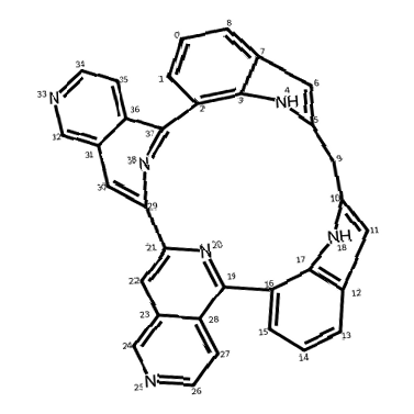 c1cc2c3[nH]c(cc3c1)Cc1cc3cccc(c3[nH]1)-c1nc(cc3cnccc13)-c1cc3cnccc3c-2n1